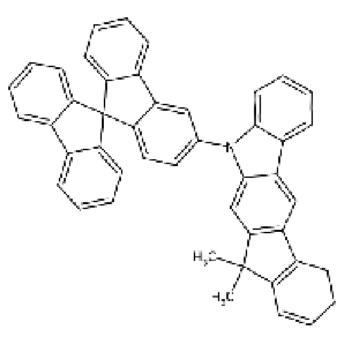 CC1(C)C2=C(CCC=C2)c2cc3c4ccccc4n(-c4ccc5c(c4)-c4ccccc4C54c5ccccc5-c5ccccc54)c3cc21